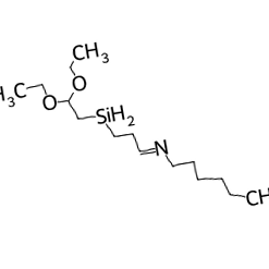 CCCCCCN=CCC[SiH2]CC(OCC)OCC